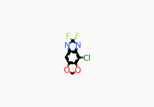 FC1(F)N=c2cc3c(c(Cl)c2=N1)OCO3